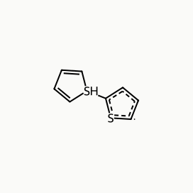 [c]1ccc([SH]2C=CC=C2)s1